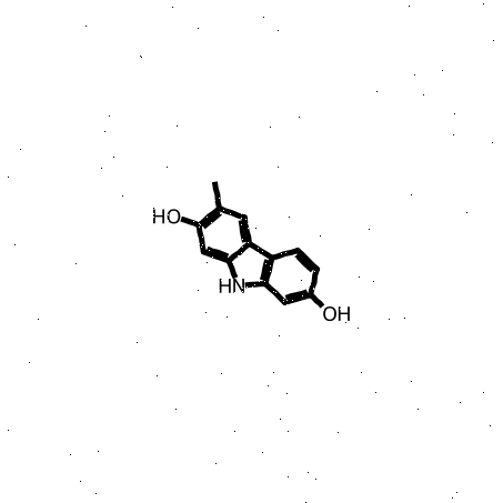 Cc1cc2c(cc1O)[nH]c1cc(O)ccc12